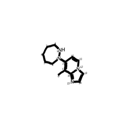 Cc1c(N2CCCCCN2)ccn2ccnc12